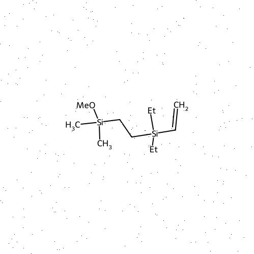 C=C[Si](CC)(CC)CC[Si](C)(C)OC